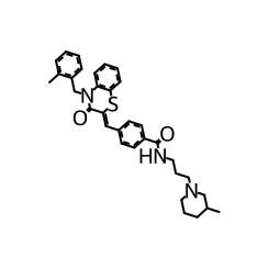 Cc1ccccc1CN1C(=O)C(=Cc2ccc(C(=O)NCCCN3CCCC(C)C3)cc2)Sc2ccccc21